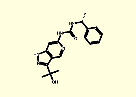 C[C@@H](NC(=O)Nc1cc2[nH]nc(C(C)(C)O)c2cn1)c1ccccc1